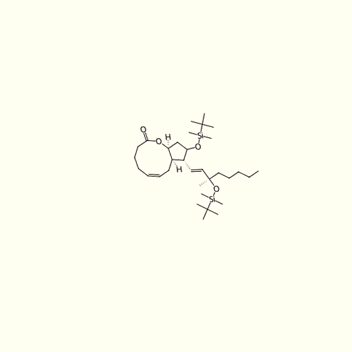 CCCCC[C@](C)(/C=C/[C@H]1C(O[Si](C)(C)C(C)(C)C)C[C@@H]2OC(=O)CCC/C=C\C[C@@H]21)O[Si](C)(C)C(C)(C)C